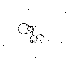 C=C(/C=C\C)/C(=C/C1=C(C)/C2=C/C=N\CC1CCCCC2)CC